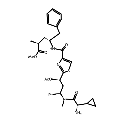 COC(=O)[C@@H](C)C[C@H](Cc1ccccc1)NC(=O)c1csc([C@@H](C[C@H](C(C)C)N(C)C(=O)[C@@H](N)C2CC2)OC(C)=O)n1